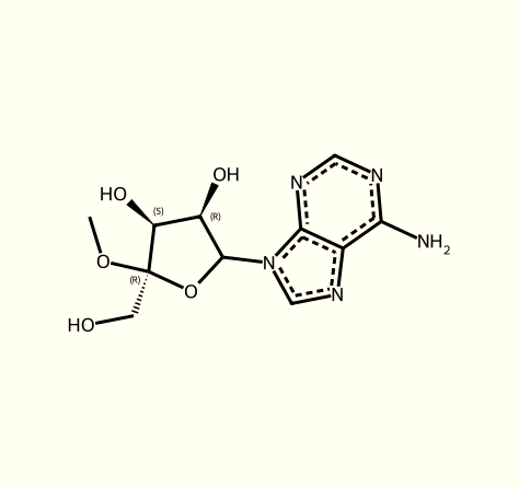 CO[C@]1(CO)OC(n2cnc3c(N)ncnc32)[C@H](O)[C@@H]1O